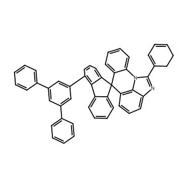 C1=CCCC(c2nc3cccc4c3n2-c2ccccc2C42c3ccccc3-c3c(-c4cc(-c5ccccc5)cc(-c5ccccc5)c4)cccc32)=C1